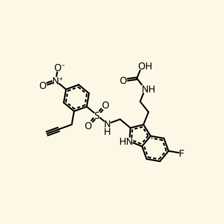 C#CCc1cc([N+](=O)[O-])ccc1S(=O)(=O)NCc1[nH]c2ccc(F)cc2c1CCNC(=O)O